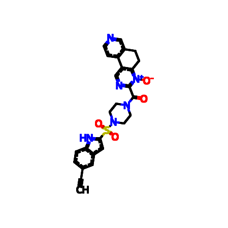 C#Cc1ccc2[nH]c(S(=O)(=O)N3CCN(C(=O)c4ncc5c([n+]4[O-])CCc4cnccc4-5)CC3)cc2c1